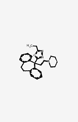 CCc1nnc(C2(CCN3CCCCC3)c3ccccc3CCc3ccccc32)o1